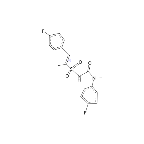 C/C(=C\c1ccc(F)cc1)S(=O)(=O)NC(=O)N(C)c1ccc(F)cc1